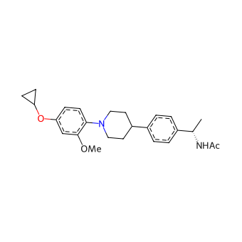 COc1cc(OC2CC2)ccc1N1CCC(c2ccc([C@H](C)NC(C)=O)cc2)CC1